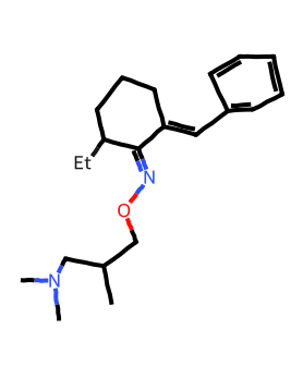 CCC1CCCC(=C\c2ccccc2)/C1=N/OCC(C)CN(C)C